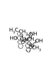 CC(C)CC[C@H](O)[C@H](CC1CCCCC1)NC(=O)[C@H](Cc1c[nH]cn1)N(C)C(=O)[C@H](Cc1ccccc1)OC(=O)N(C)CCO